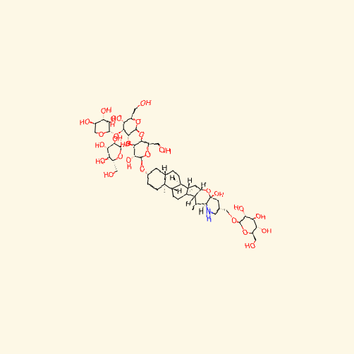 C[C@H]1[C@H]2[C@H](C[C@H]3[C@@H]4CC[C@H]5C[C@@H](O[C@@H]6O[C@H](CO)[C@H](O[C@@H]7O[C@H](CO)[C@@H](O)[C@H](O[C@@H]8OC[C@@H](O)[C@H](O)[C@H]8O)[C@H]7O[C@@H]7O[C@H](CO)[C@@H](O)[C@H](O)[C@H]7O)[C@H](O)[C@H]6O)CC[C@]5(C)[C@H]4CC[C@]23C)O[C@]2(O)C[C@H](CO[C@@H]3O[C@H](CO)[C@@H](O)[C@H](O)[C@H]3O)CN[C@@H]12